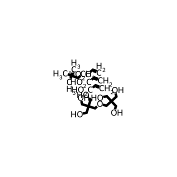 C=CC(=O)O.C=CC(=O)O.C=CC(=O)O.CCC(C)(C)C.OCC(CO)(CO)COCC(CO)(CO)CO